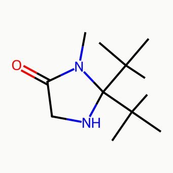 CN1C(=O)CNC1(C(C)(C)C)C(C)(C)C